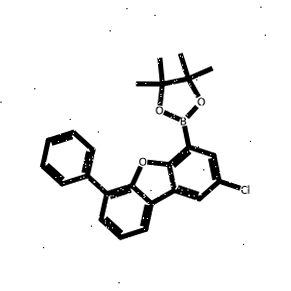 CC1(C)OB(c2cc(Cl)cc3c2oc2c(-c4ccccc4)cccc23)OC1(C)C